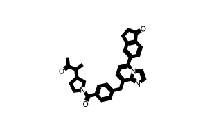 CC(=O)C(C)C1CCN(C(=O)c2ccc(Cc3ccc(-c4ccc5c(c4)CCC5=O)n4ccnc34)cc2)C1